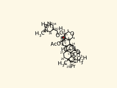 CC(=O)O[C@@H]1C[C@@]23COC[C@@](C)([C@@H]2CC[C@H]2C3=CC(=O)[C@@]3(C)[C@H](C(=O)O)[C@@](C)([C@H](C)C(C)C)CC[C@]23C)[C@H]1OCC(CN)CN(C)C